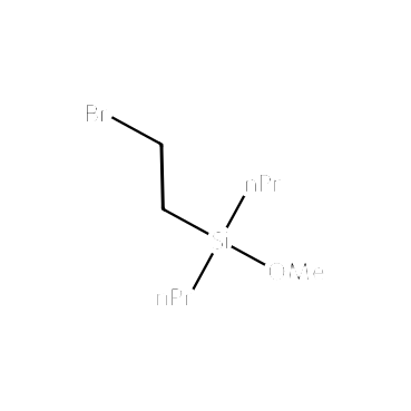 CCC[Si](CCC)(CCBr)OC